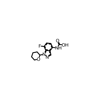 O=C(O)Nc1ccc(F)c2c1cnn2C1CCCCO1